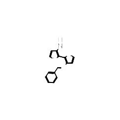 Nc1ccsc1-c1sccc1SCc1ccccc1